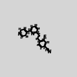 N#Cc1ccc(CSc2cccc(C3=CCN=CC3)n2)c(F)c1